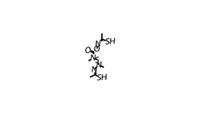 CC(S)=NOC(=O)N(C)SN(C)N=C(C)S